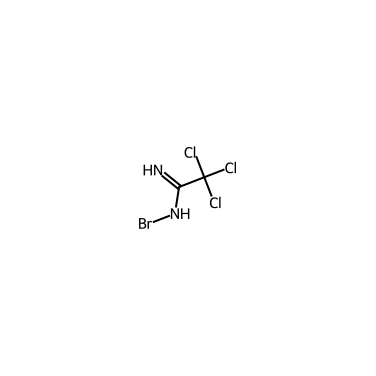 N=C(NBr)C(Cl)(Cl)Cl